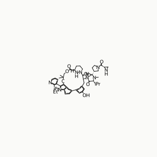 CCn1c(-c2cccnc2C(C)C)c2c3cc(ccc31)-c1cc(O)cc(c1)C[C@H](NC(=O)[C@H](C(C)C)N(C)C(=O)[C@@H]1CCN(C(=O)[C@H]3CN3)C1)C(=O)N1CCC[C@H](N1)C(=O)OCC(C)(C)C2